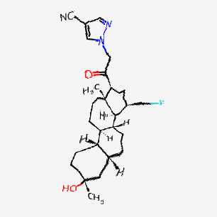 C[C@@]1(O)CC[C@H]2[C@H](CC[C@@H]3[C@@H]2CC[C@@]2(C)[C@H]3[C@H](CF)C[C@@H]2C(=O)Cn2cc(C#N)cn2)C1